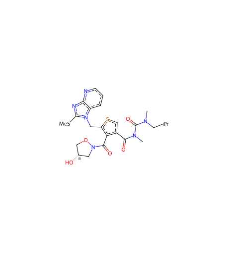 CSc1nc2ncccc2n1Cc1scc(C(=O)N(C)C(=O)N(C)CC(C)C)c1C(=O)N1C[C@H](O)CO1